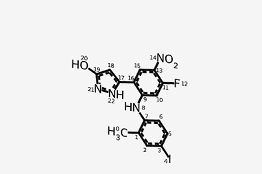 Cc1cc(I)ccc1Nc1cc(F)c([N+](=O)[O-])cc1-c1cc(O)n[nH]1